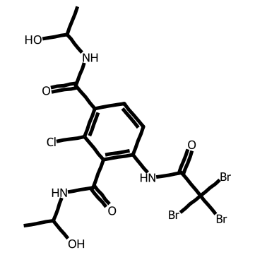 CC(O)NC(=O)c1ccc(NC(=O)C(Br)(Br)Br)c(C(=O)NC(C)O)c1Cl